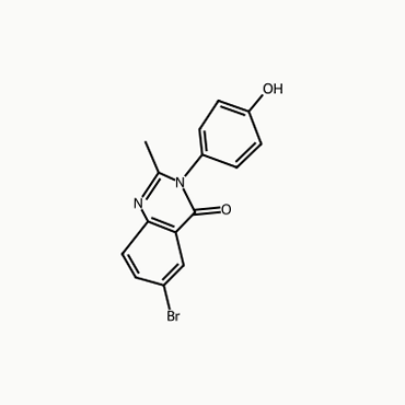 Cc1nc2ccc(Br)cc2c(=O)n1-c1ccc(O)cc1